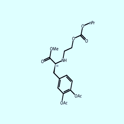 CCCOC(=O)OCCN[C@@H](Cc1ccc(OC(C)=O)c(OC(C)=O)c1)C(=O)OC